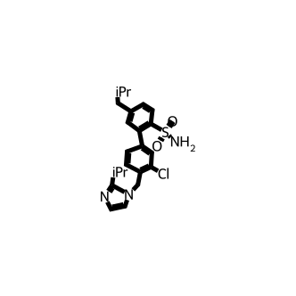 CC(C)Cc1ccc(S(N)(=O)=O)c(-c2ccc(Cn3ccnc3C(C)C)c(Cl)c2)c1